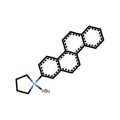 CCCC[N+]1(c2ccc3c(ccc4c5ccccc5ccc34)c2)CCCC1